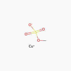 COS(=O)(=O)[O-].[Cu+]